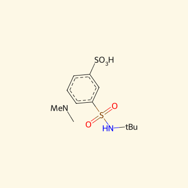 CC(C)(C)NS(=O)(=O)c1cccc(S(=O)(=O)O)c1.CNC